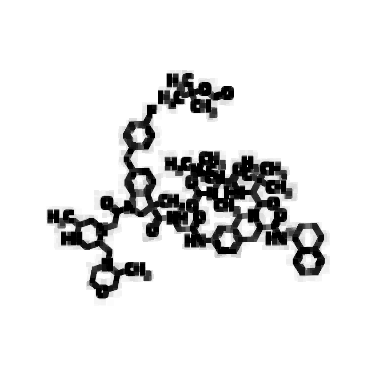 CC(C)(C)OC=O.CC1CN(CC(=O)N2CC(C)(C(=O)NCC(=O)Nc3ccc4c(c3)CN(C(=O)C(NC(=O)C(C)N(C)C(=O)OC(C)(C)C)C(C)(C)C)C(C(=O)N[C@@H]3CCCc5ccccc53)C4)c3ccc(Cc4ccc(F)cc4)cc32)C(CN2CCOCC2C)CN1